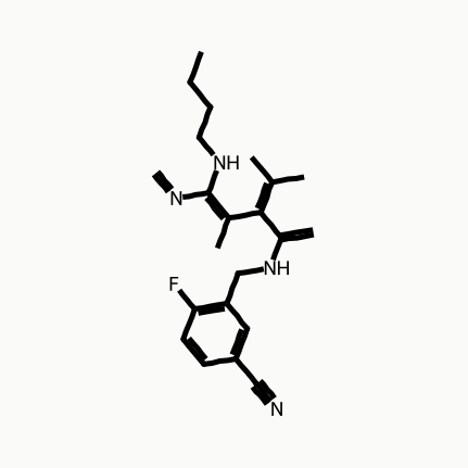 C=N/C(NCCCC)=C(\C)C(C(=C)NCc1cc(C#N)ccc1F)=C(C)C